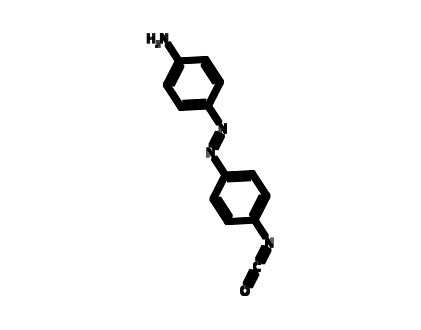 Nc1ccc(N=Nc2ccc(N=C=O)cc2)cc1